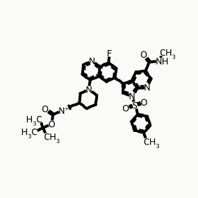 CNC(=O)c1cnc2c(c1)c(-c1cc(F)c3nccc(N4CCCC(C#[N+]C(=O)OC(C)(C)C)C4)c3c1)cn2S(=O)(=O)c1ccc(C)cc1